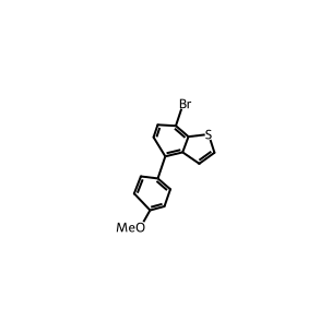 COc1ccc(-c2ccc(Br)c3sccc23)cc1